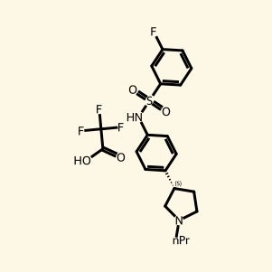 CCCN1CC[C@@H](c2ccc(NS(=O)(=O)c3cccc(F)c3)cc2)C1.O=C(O)C(F)(F)F